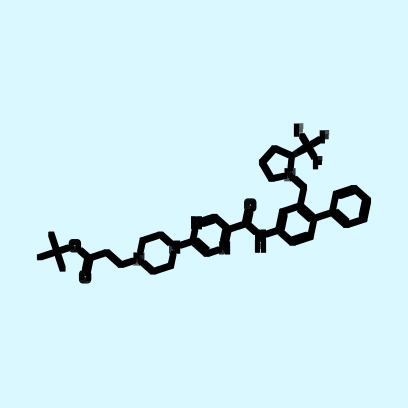 CC(C)(C)OC(=O)CCN1CCN(c2cnc(C(=O)Nc3ccc(-c4ccccc4)c(CN4CCC[C@H]4C(F)(F)F)c3)cn2)CC1